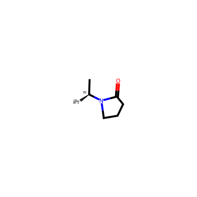 CC(C)[C@@H](C)N1CCCC1=O